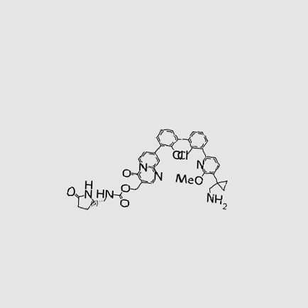 COc1nc(-c2cccc(-c3cccc(-c4ccn5c(=O)c(COC(=O)NC[C@@H]6CCC(=O)N6)cnc5c4)c3Cl)c2Cl)ccc1C1(CN)CC1